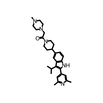 Cc1cc(-c2[nH]c3ccc(C4CCN(C(=O)CN5CCN(C)CC5)CC4)cc3c2C(C)C)cc(C)n1